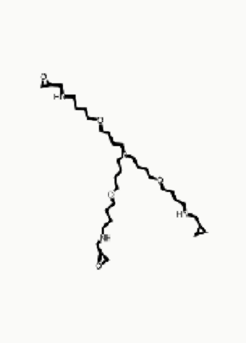 C(CCOCCCCN(CCCCOCCCCNCC1CO1)CCCCOCCCCNCC1CO1)CNCC1CC1